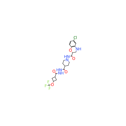 O=C(NNC(=O)C1CC(OC(F)(F)F)C1)C1CCN(NC(=O)C2CNc3cc(Cl)ccc3O2)CC1